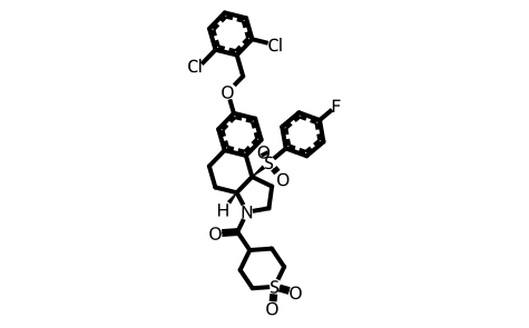 O=C(C1CCS(=O)(=O)CC1)N1CC[C@@]2(S(=O)(=O)c3ccc(F)cc3)c3ccc(OCc4c(Cl)cccc4Cl)cc3CC[C@@H]12